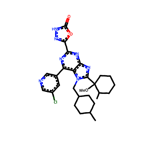 COC1(c2nc3nc(-c4n[nH]c(=O)o4)nc(-c4cncc(Cl)c4)c3n2CC2CCC(C)CC2)CCCCC1C